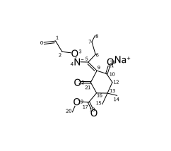 C=CCO[N-]C(CCC)=C1C(=O)CC(C)(C)C(C(=O)OC)C1=O.[Na+]